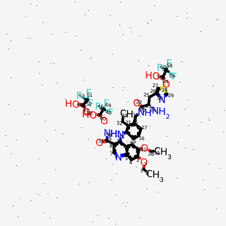 CCOc1cc2ncc(C(N)=O)c(Nc3cccc(CNC(=O)[C@@H](N)Cc4cscn4)c3CC)c2cc1OCC.O=C(O)C(F)(F)F.O=C(O)C(F)(F)F.O=C(O)C(F)(F)F